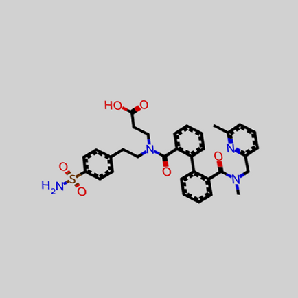 Cc1cccc(CN(C)C(=O)c2ccccc2-c2ccccc2C(=O)N(CCC(=O)O)CCc2ccc(S(N)(=O)=O)cc2)n1